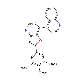 COc1cc(-c2cc3nccc(-c4ccnc5ccccc45)c3o2)cc(OC)c1OC